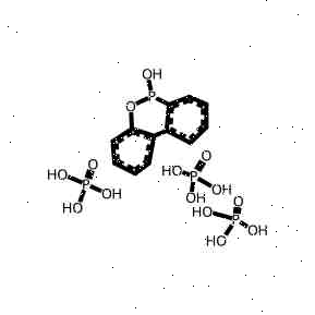 O=P(O)(O)O.O=P(O)(O)O.O=P(O)(O)O.OP1Oc2ccccc2-c2ccccc21